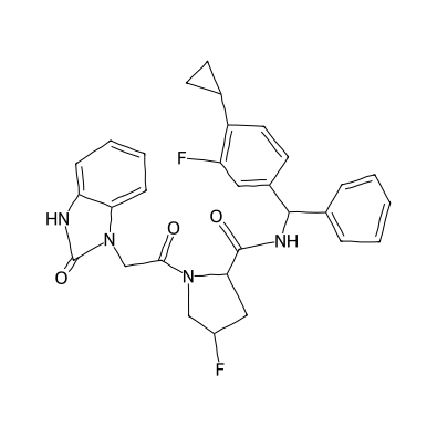 O=C(NC(c1ccccc1)c1ccc(C2CC2)c(F)c1)C1CC(F)CN1C(=O)Cn1c(=O)[nH]c2ccccc21